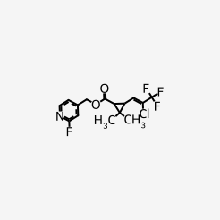 CC1(C)C(/C=C(\Cl)C(F)(F)F)C1C(=O)OCc1ccnc(F)c1